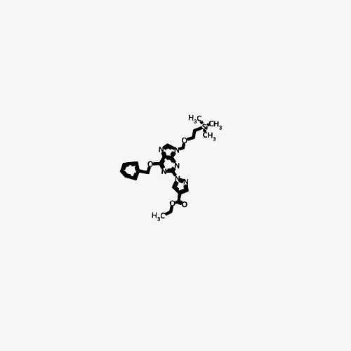 CCOC(=O)c1cnn(-c2nc(OCc3ccccc3)c3ncn(COCC[Si](C)(C)C)c3n2)c1